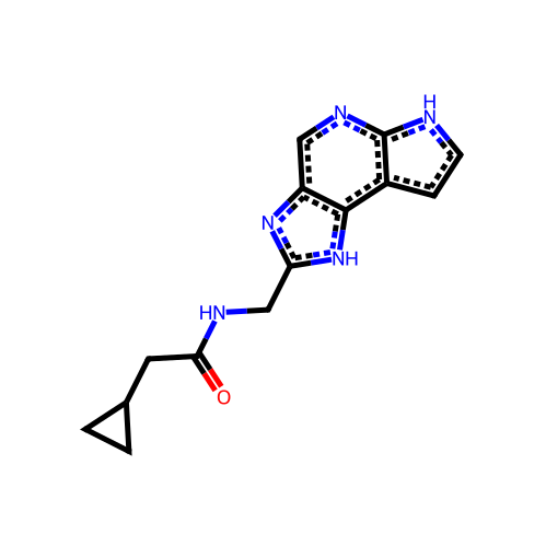 O=C(CC1CC1)NCc1nc2cnc3[nH]ccc3c2[nH]1